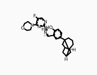 Oc1ccc(C23CCC[C@H]4C[C@@H](CC4C2)C3)cc1/C=N\Nc1ncc(F)c(N2CCOCC2)n1